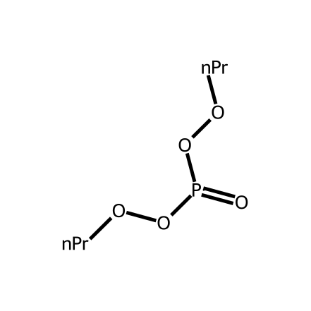 CCCOO[P](=O)OOCCC